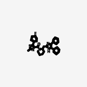 Cc1nc(C(=O)N2CCCCC2Cc2nc(-c3ccccc3)c(-c3ccccc3)[nH]2)c(-c2ccc(F)cc2)s1